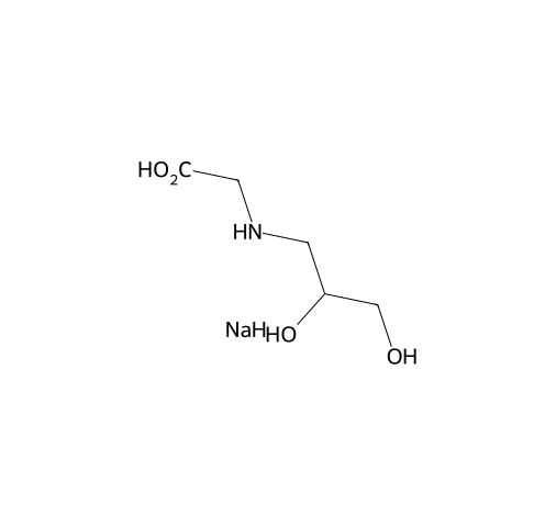 O=C(O)CNCC(O)CO.[NaH]